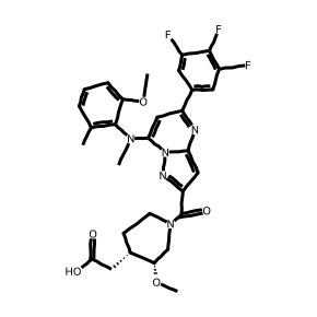 COc1cccc(C)c1N(C)c1cc(-c2cc(F)c(F)c(F)c2)nc2cc(C(=O)N3CC[C@@H](CC(=O)O)[C@@H](OC)C3)nn12